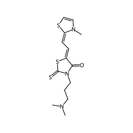 CN(C)CCCN1C(=O)C(=CC=C2SC=CN2C)SC1=S